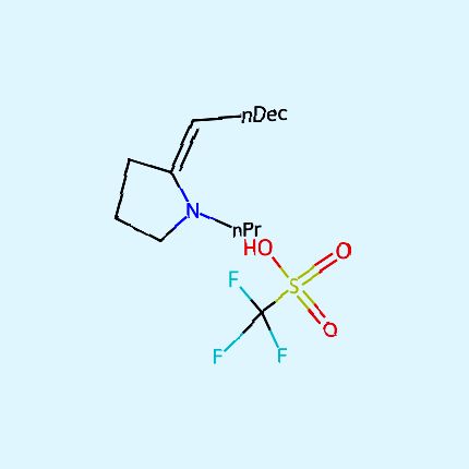 CCCCCCCCCCC=C1CCCN1CCC.O=S(=O)(O)C(F)(F)F